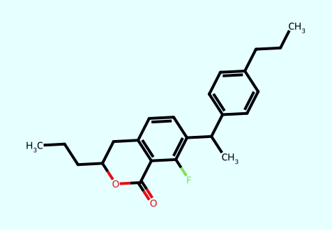 CCCc1ccc(C(C)c2ccc3c(c2F)C(=O)OC(CCC)C3)cc1